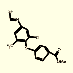 COC(=O)c1ccc(Sc2c(Cl)cc(/N=C/S)cc2C(F)(F)F)cc1